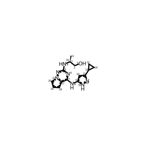 C[C@@H](CO)Nc1nc(Nc2cc(C3CC3)n[nH]2)c2cccn2n1